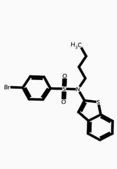 CCCCN(c1cc2ccccc2s1)S(=O)(=O)c1ccc(Br)cc1